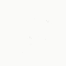 CCCCN1C(=O)CC[C@H]1C(N)=O